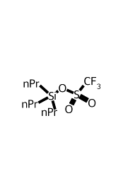 CCC[Si](CCC)(CCC)OS(=O)(=O)C(F)(F)F